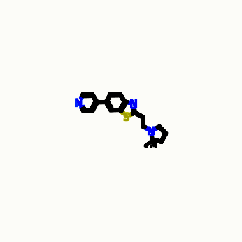 C[C@@H]1CCCN1CCc1nc2ccc(-c3ccncc3)cc2s1